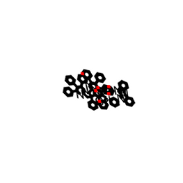 c1ccc(-c2nc(CC3(Cc4nc(-c5ccccc5)c(-c5ccccc5)c(-c5ccccc5)n4)c4ccccc4Oc4c3cccc4[Si](c3ccccc3)(c3ccccc3)c3cccc(-n4c5ccccc5n5c6ccccc6nc45)c3)nc(-c3ccccc3)c2-c2ccccc2)cc1